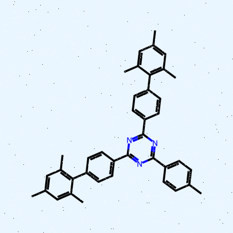 Cc1ccc(-c2nc(-c3ccc(-c4c(C)cc(C)cc4C)cc3)nc(-c3ccc(-c4c(C)cc(C)cc4C)cc3)n2)cc1